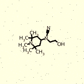 CN1C(C)(C)CC(N(C#N)CCO)CC1(C)C